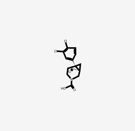 O=C[C@]12CN(C(=O)O)CC[C@@]1(c1ccc(Cl)c(Cl)c1)C2